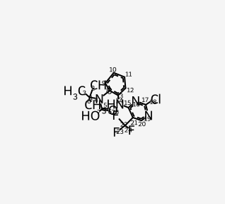 CC(C)(C)N(C(=O)O)c1ccccc1Nc1nc(Cl)ncc1C(F)(F)F